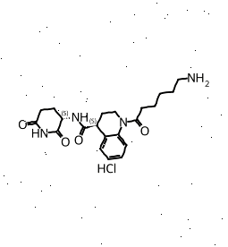 Cl.NCCCCCC(=O)N1CC[C@H](C(=O)N[C@H]2CCC(=O)NC2=O)c2ccccc21